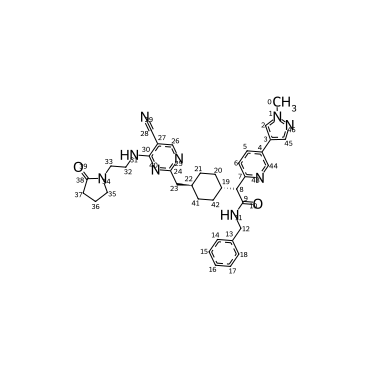 Cn1cc(-c2ccc(C(C(=O)NCc3ccccc3)[C@H]3CC[C@H](Cc4ncc(C#N)c(NCCN5CCCC5=O)n4)CC3)nc2)cn1